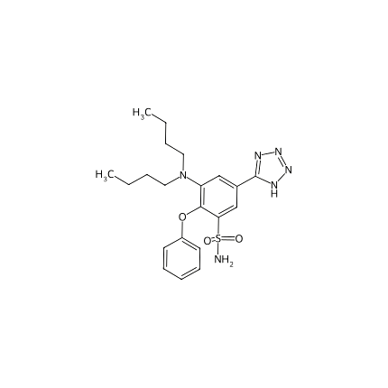 CCCCN(CCCC)c1cc(-c2nnn[nH]2)cc(S(N)(=O)=O)c1Oc1ccccc1